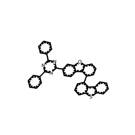 c1ccc(-c2nc(-c3ccccc3)nc(-c3ccc4c(c3)oc3cccc(-c5cccc6sc7ccccc7c56)c34)n2)cc1